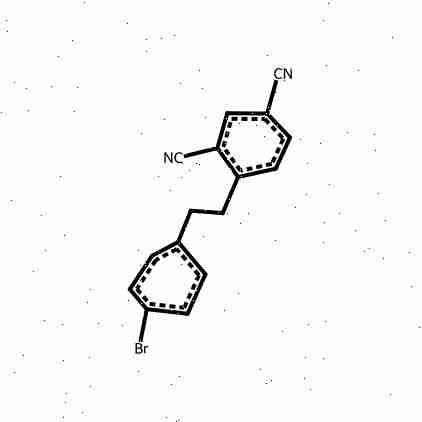 N#Cc1ccc(CCc2ccc(Br)cc2)c(C#N)c1